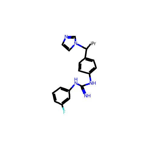 CC(C)C(c1ccc(NC(=N)Nc2cccc(F)c2)cc1)n1ccnc1